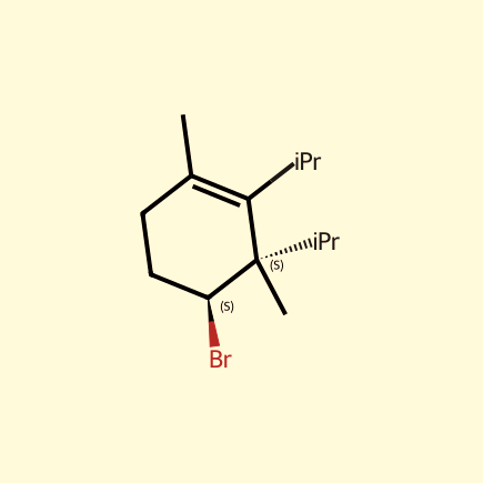 CC1=C(C(C)C)[C@](C)(C(C)C)[C@@H](Br)CC1